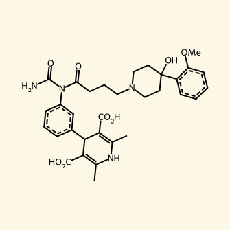 COc1ccccc1C1(O)CCN(CCCC(=O)N(C(N)=O)c2cccc(C3C(C(=O)O)=C(C)NC(C)=C3C(=O)O)c2)CC1